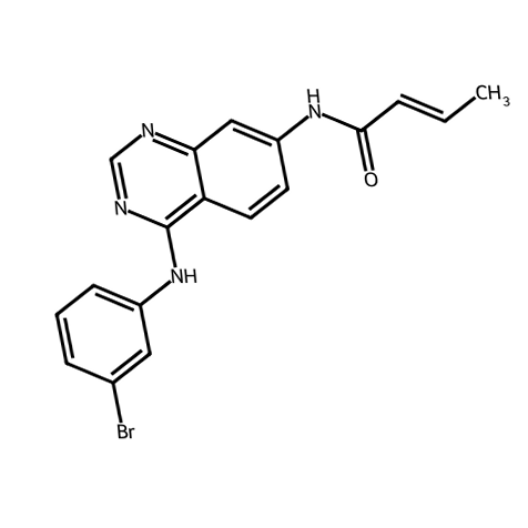 CC=CC(=O)Nc1ccc2c(Nc3cccc(Br)c3)ncnc2c1